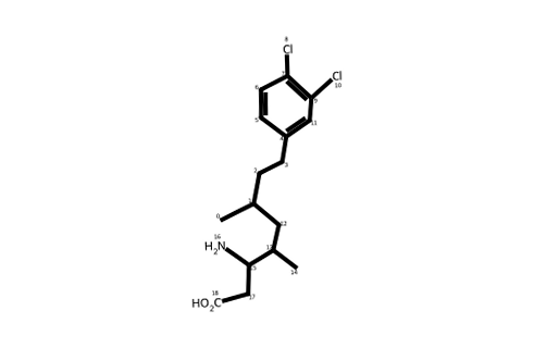 CC(CCc1ccc(Cl)c(Cl)c1)CC(C)C(N)CC(=O)O